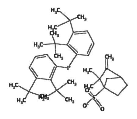 C=C1C2CCC(S(=O)(=O)[O-])(C2)C1(C)C.CC(C)(C)c1cccc([I+]c2cccc(C(C)(C)C)c2C(C)(C)C)c1C(C)(C)C